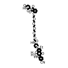 CCc1cc2c(cc1N1CCC(NC(=O)COCCOCCOCCOCCOCCSc3cccc4c3C(=O)N(C3CCC(=O)NC3=O)C4=O)CC1)C(C)(C)c1[nH]c3cc(C#N)ccc3c1C2=O